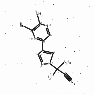 CC(C)(C#N)n1cc(-c2cnc(N)c(Br)n2)cn1